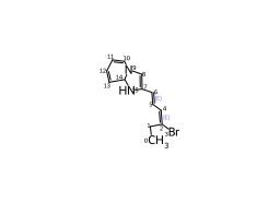 CC/C(Br)=C\C=C\C1=CN2C=CC=CC2N1